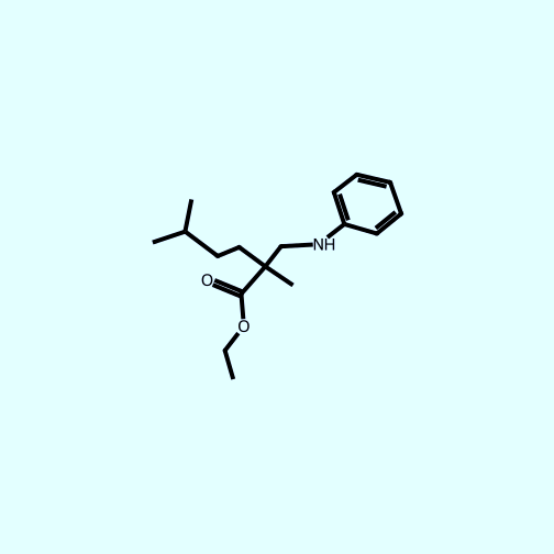 CCOC(=O)C(C)(CCC(C)C)CNc1ccccc1